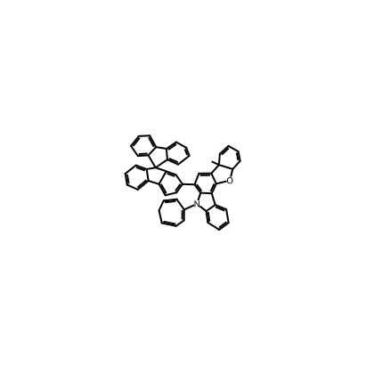 CC12C=CC=CC1Oc1c2cc(-c2ccc3c(c2)C2(c4ccccc4-c4ccccc42)c2ccccc2-3)c2c1c1ccccc1n2C1=CC=CCC=C1